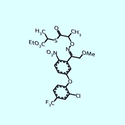 CCOC(=O)C(C)SC(=O)C(C)ON=C(COC)c1cc(Oc2ccc(C(F)(F)F)cc2Cl)ccc1[N+](=O)[O-]